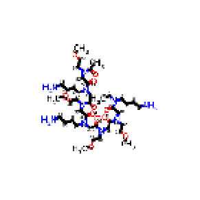 CCN(CCCCN)C(=O)CN(CCOC)C(=O)CN(CCOC)C(=O)CN(CCCCN)C(=O)CN(CCOC)C(=O)CN(CCCCN)C(=O)CN(CCOC)C(C)=O